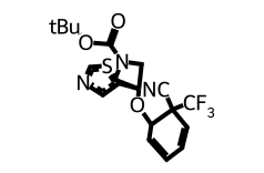 CC(C)(C)OC(=O)N1CC(OC2C=CC=CC2(C#N)C(F)(F)F)(c2cncs2)C1